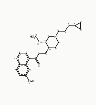 COc1ccc2nccc(C(=O)CC[C@@H]3CCN(CCSC4CC4)C[C@H]3CC(=O)O)c2c1